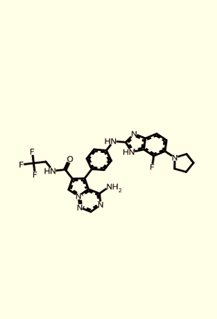 Nc1ncnn2cc(C(=O)NCC(F)(F)F)c(-c3ccc(Nc4nc5ccc(N6CCCC6)c(F)c5[nH]4)cc3)c12